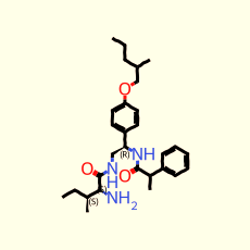 CCCC(C)COc1ccc([C@H](CNC(=O)[C@@H](N)[C@@H](C)CC)NC(=O)C(C)c2ccccc2)cc1